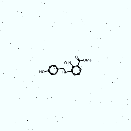 COC(=O)c1cccc(NCc2ccc(O)cc2)c1[N+](=O)[O-]